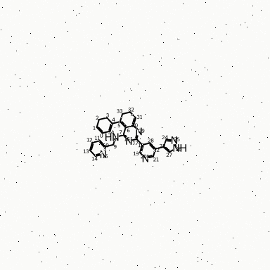 C1=CCCC(C2=c3c(NCc4ccccn4)nc(-c4cncc(-c5cn[nH]c5)c4)nc3=CCC2)=C1